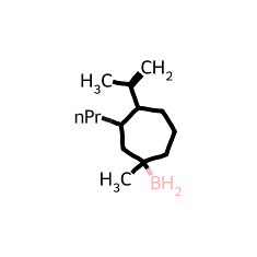 BC1(C)CCCC(C(=C)C)C(CCC)C1